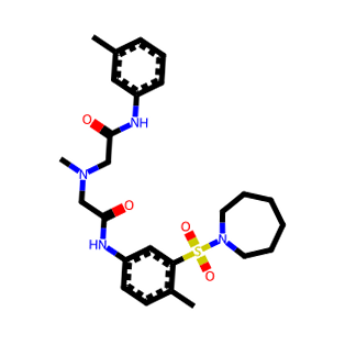 Cc1cccc(NC(=O)CN(C)CC(=O)Nc2ccc(C)c(S(=O)(=O)N3CCCCCC3)c2)c1